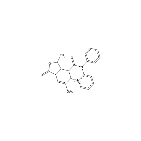 CC(=O)OC1=CC2C(=O)OC(C)C2C(C(=O)N(c2ccccc2)c2ccccc2)C1C